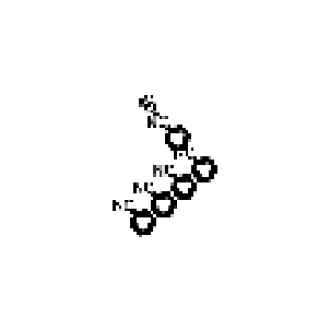 N#Cc1ccccc1.N#Cc1ccccc1.N#Cc1ccccc1.N#Cc1ccccc1.N#Cc1ccccc1.[C]=O.[W]